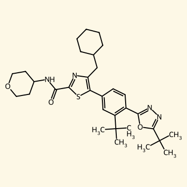 CC(C)(C)c1nnc(-c2ccc(-c3sc(C(=O)NC4CCOCC4)nc3CC3CCCCC3)cc2C(C)(C)C)o1